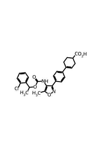 Cc1onc(-c2ccc(C3=CCC(C(=O)O)CC3)cc2)c1NC(=O)OC(C)c1ccccc1Cl